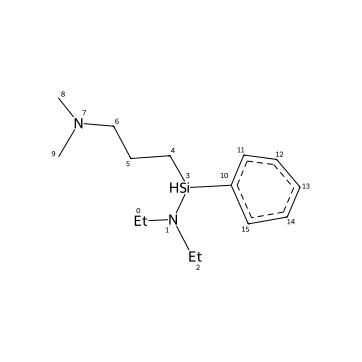 CCN(CC)[SiH](CCCN(C)C)c1ccccc1